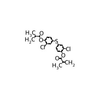 C=C(C)C(=O)Oc1ccc(Sc2ccc(OC(=O)C(=C)C)c(Cl)c2)cc1Cl